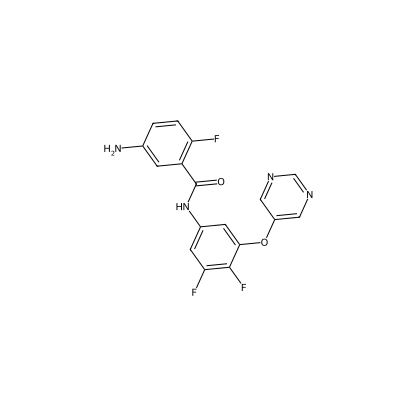 Nc1ccc(F)c(C(=O)Nc2cc(F)c(F)c(Oc3cncnc3)c2)c1